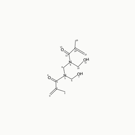 C=C(C)C(=O)N(CO)CN(CO)C(=O)C(=C)C